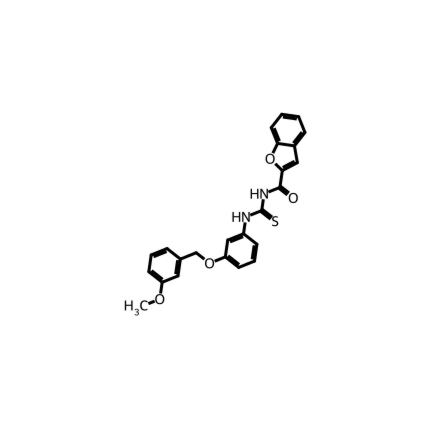 COc1cccc(COc2cccc(NC(=S)NC(=O)c3cc4ccccc4o3)c2)c1